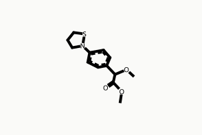 COC(=O)C(OC)c1ccc(N2CCCS2)cc1